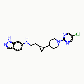 Clc1cnc(N2CCC(C3CC3CCNc3ccc4cn[nH]c4c3)CC2)nc1